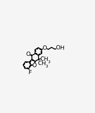 CC1(C)c2cc(OCCCO)ccc2C(=O)c2c1oc1c(F)cccc21